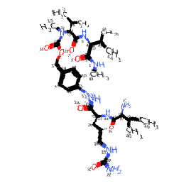 CNC(=O)[C@@H](NC(=O)[C@H](C(C)C)N(C)C(=O)OCc1ccc(NC(=O)[C@H](CCCNC(N)=O)NC(=O)[C@@H](N)C(C)C)cc1)C(C)C